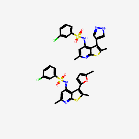 Cc1cc(NS(=O)(=O)c2cccc(Cl)c2)c2c(-c3ccc(C)o3)c(C)sc2n1.Cc1cc(NS(=O)(=O)c2cccc(Cl)c2)c2c(-c3cn[nH]c3)c(C)sc2n1